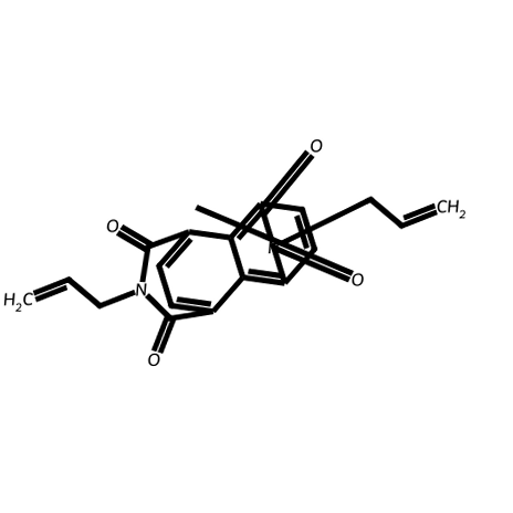 C=CCn1c(=O)c2ccc(c1=O)c1c3ccc(c(=O)n(CC=C)c3=O)c21